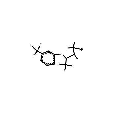 CC(C(Oc1cccc(C(F)(F)F)c1)C(F)(F)F)C(F)(F)F